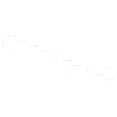 C/N=C(\NC)NCCCC(N)C(=O)NCCSCC(=O)NCC1CCCCCC1